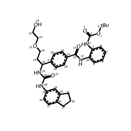 CC(C)(C)OC(=O)Nc1ccccc1NC(=O)c1ccc(C(CCOCCO)NC(=O)Nc2ccc3c(c2)CCC3)cc1